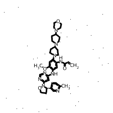 C=CC(=O)Nc1cc(Nc2cc(N3OCC[C@@H]3c3ccc(C)nc3)ncn2)c(OC)cc1N1CCC(N2CCC(N3CCOCC3)CC2)CC1